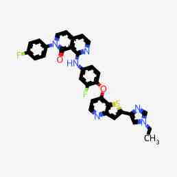 CCn1cnc(-c2cc3nccc(Oc4ccc(Nc5nccc6ccn(-c7ccc(F)cc7)c(=O)c56)cc4F)c3s2)c1